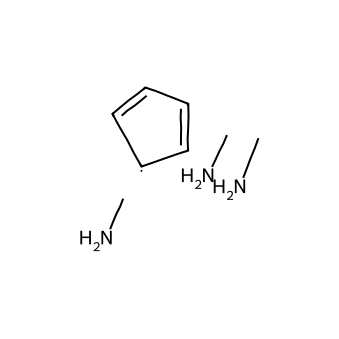 CN.CN.CN.[CH]1C=CC=C1